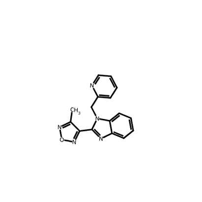 Cc1nonc1-c1nc2ccccc2n1Cc1ccccn1